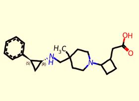 CC1(CN[C@@H]2C[C@H]2c2ccccc2)CCN(C2CCC2CC(=O)O)CC1